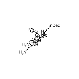 CCCCCCCCCCCCCCCC(=O)N[C@@H](C)C(=O)N1C[C@H](Oc2ccncc2)C[C@H]1C(=O)N[C@@H](C)C(=O)N[C@@H](CCCCN)C(N)=O